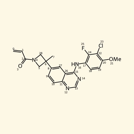 C=CC(=O)N1CC(C)(c2ccc3ncnc(Nc4ccc(OC)c(Cl)c4F)c3c2)C1